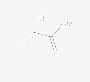 C=CC(=O)OC.[Hf]